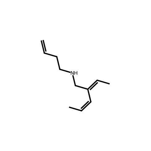 C=CCCNCC(/C=C\C)=C/C